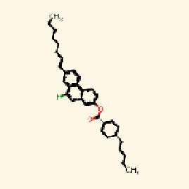 CCCCCCCCc1ccc2c(c1)c(F)cc1cc(OC(=O)[C@H]3CC[C@H](CCCCC)CC3)ccc12